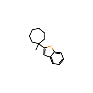 CC1(C2=Cc3ccccc3[P]2)CCCCCC1